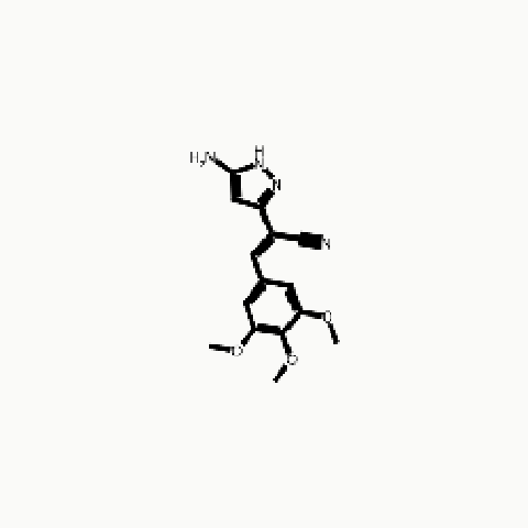 COc1cc(C=C(C#N)c2cc(N)[nH]n2)cc(OC)c1OC